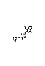 CCCCc1c(/C=C/C(=O)NC(C)CCCc2cccnc2)cc(C)c2ccccc12